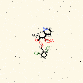 C=C(C(=O)OCc1c(Cl)cccc1Cl)C(O)c1cccnc1